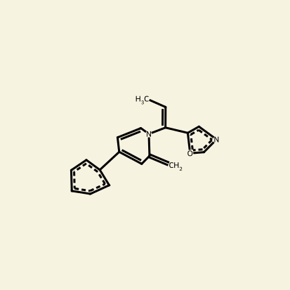 C=C1C=C(c2ccccc2)C=CN1/C(=C\C)c1cnco1